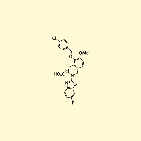 COc1ccc2c(c1OCc1ccc(Cl)cc1)C[C@@H](C(=O)O)N(c1nc3ccc(F)cc3o1)C2